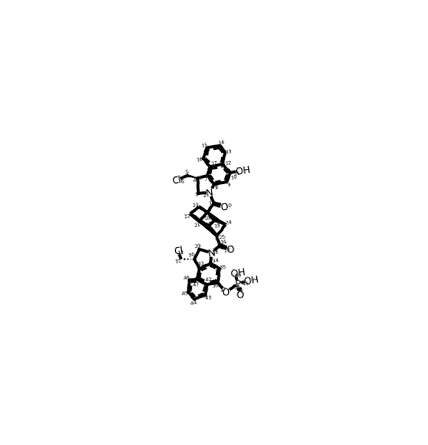 O=C(N1C[C@@H](CCl)c2c1cc(O)c1ccccc21)C12C3C4C1C1C2C3C41C(=O)N1C[C@@H](CCl)c2c1cc(OP(=O)(O)O)c1ccccc21